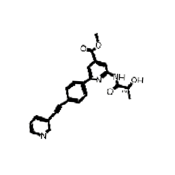 COC(=O)c1cc(NC(=O)[C@H](C)O)nc(-c2ccc(C#Cc3cccnc3)cc2)c1